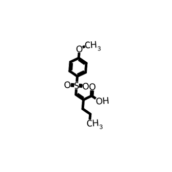 CCCC(=CS(=O)(=O)c1ccc(OC)cc1)C(=O)O